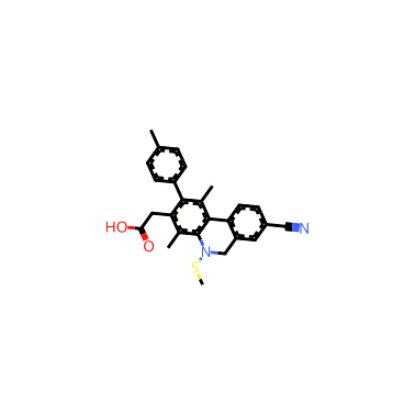 CSN1Cc2cc(C#N)ccc2-c2c(C)c(-c3ccc(C)cc3)c(CC(=O)O)c(C)c21